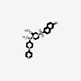 CN(C1CCN(c2ccncc2)CC1)N1CCN(S(=O)(=O)c2ccc3cc(Br)ccc3c2)CC1=O.Cl